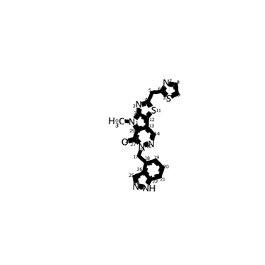 Cn1c2nc(Cc3nccs3)sc2c2cnn(Cc3cccc4[nH]ncc34)c(=O)c21